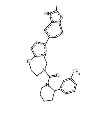 Cc1nc2ccc(-c3ccc4c(c3)CN(C(=O)N3CCCCC3c3cccc(C(F)(F)F)c3)CCO4)cc2[nH]1